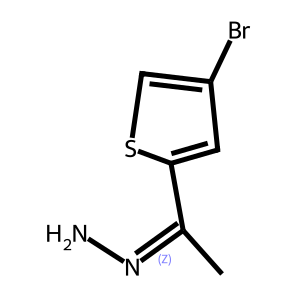 C/C(=N/N)c1cc(Br)cs1